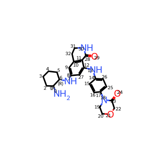 N[C@H]1CCCC[C@H]1Nc1cc2c(c(Nc3ccc(N4CCOCC4=O)cc3)c1)C(=O)NCC2